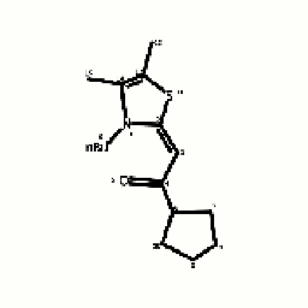 CCCCN1C(=CC(=O)C2CCCC2)SC(C)=C1C